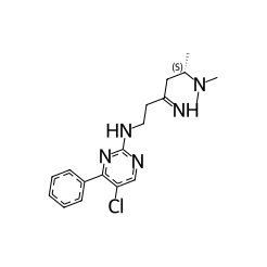 C[C@@H](CC(=N)CCNc1ncc(Cl)c(-c2ccccc2)n1)N(C)C